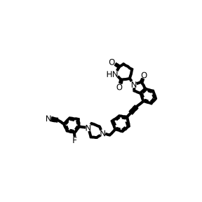 N#Cc1ccc(N2CCN(Cc3ccc(C#Cc4cccc5c4CN(C4CCC(=O)NC4=O)C5=O)cc3)CC2)c(F)c1